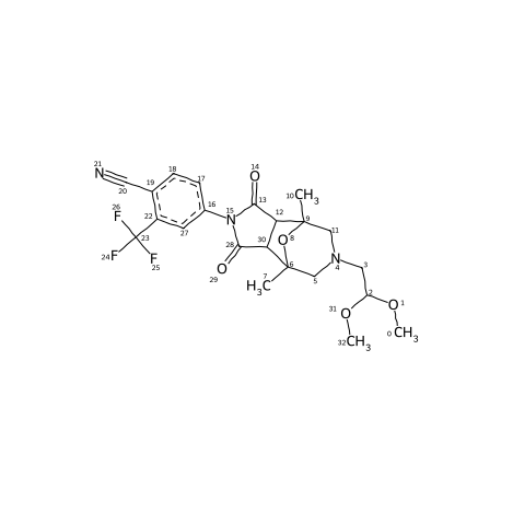 COC(CN1CC2(C)OC(C)(C1)C1C(=O)N(c3ccc(C#N)c(C(F)(F)F)c3)C(=O)C12)OC